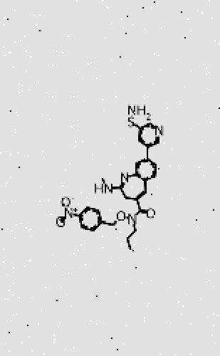 CCCN(OCc1ccc([N+](=O)[O-])cc1)C(=O)C1=Cc2ccc(-c3cncc(SN)c3)cc2N=C(NC)C1